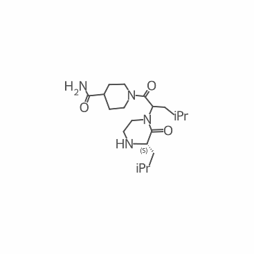 CC(C)CC(C(=O)N1CCC(C(N)=O)CC1)N1CCN[C@@H](CC(C)C)C1=O